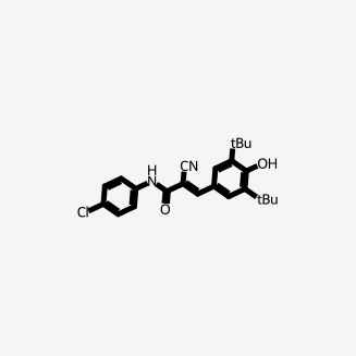 CC(C)(C)c1cc(/C=C(\C#N)C(=O)Nc2ccc(Cl)cc2)cc(C(C)(C)C)c1O